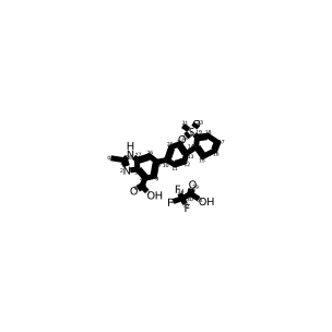 Cc1nc2c(C(=O)O)cc(-c3ccc(-c4ccccc4S(C)(=O)=O)cc3)cc2[nH]1.O=C(O)C(F)(F)F